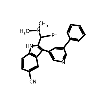 CC(C)C(c1[nH]c2ccc(C#N)cc2c1-c1cncc(-c2ccccc2)c1)N(C)C